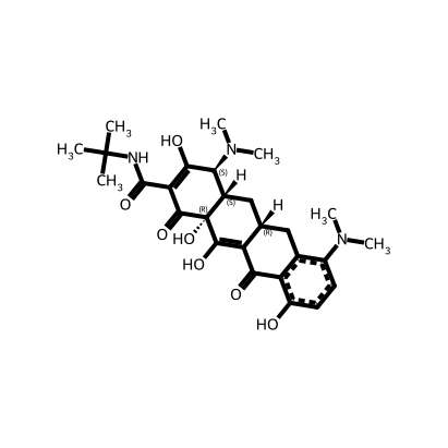 CN(C)c1ccc(O)c2c1C[C@H]1C[C@H]3[C@H](N(C)C)C(O)=C(C(=O)NC(C)(C)C)C(=O)[C@]3(O)C(O)=C1C2=O